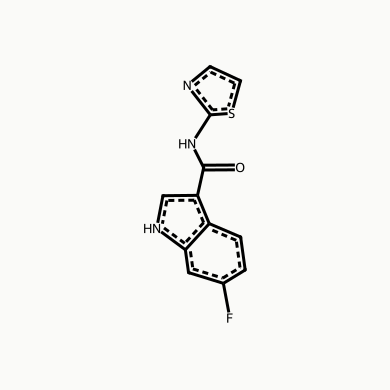 O=C(Nc1nccs1)c1c[nH]c2cc(F)ccc12